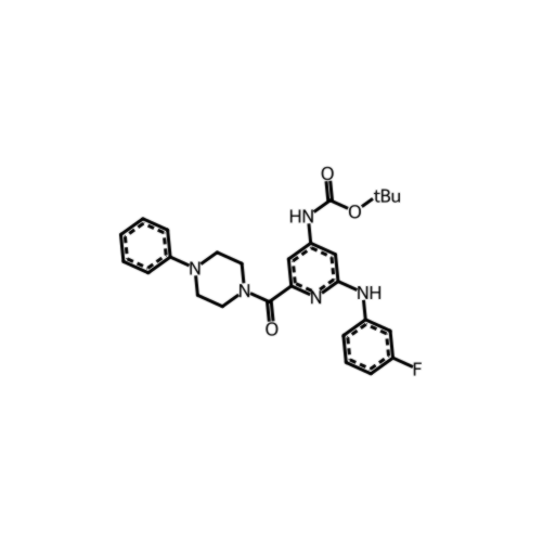 CC(C)(C)OC(=O)Nc1cc(Nc2cccc(F)c2)nc(C(=O)N2CCN(c3ccccc3)CC2)c1